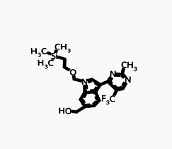 Cc1ncc(C(F)(F)F)c(-c2cn(COCC[Si](C)(C)C)c3cc(CO)ccc23)n1